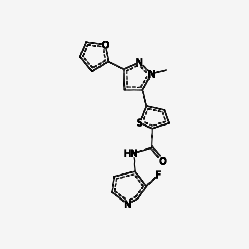 Cn1nc(-c2ccco2)cc1-c1ccc(C(=O)Nc2ccncc2F)s1